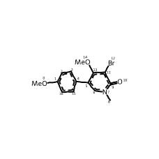 COc1ccc(-c2cn(C)c(=O)c(Br)c2OC)cc1